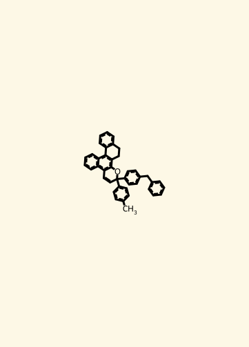 Cc1ccc(C2(c3ccc(Cc4ccccc4)cc3)C=Cc3c(c4c(c5ccccc35)-c3ccccc3CC4)O2)cc1